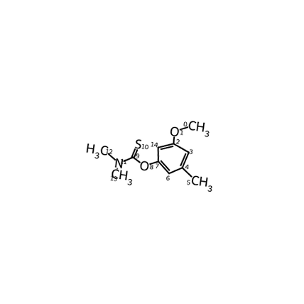 COc1cc(C)cc(OC(=S)N(C)C)c1